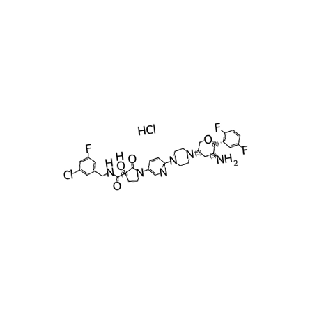 Cl.N[C@H]1C[C@H](N2CCN(c3ccc(N4CC[C@](O)(C(=O)NCc5cc(F)cc(Cl)c5)C4=O)cn3)CC2)CO[C@@H]1c1cc(F)ccc1F